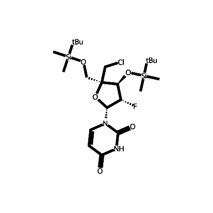 CC(C)(C)[Si](C)(C)OC[C@@]1(CCl)O[C@@H](n2ccc(=O)[nH]c2=O)[C@@H](F)[C@@H]1O[Si](C)(C)C(C)(C)C